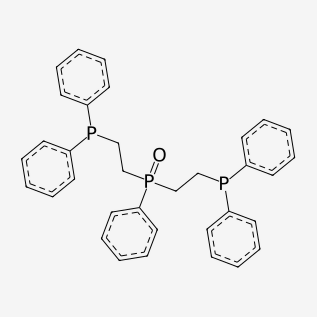 O=P(CCP(c1ccccc1)c1ccccc1)(CCP(c1ccccc1)c1ccccc1)c1ccccc1